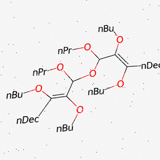 CCCCCCCCCCC(OCCCC)=C(OCCCC)C(OCCC)OC(OCCC)C(OCCCC)=C(CCCCCCCCCC)OCCCC